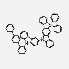 c1ccc(-c2ccc(-c3ccccc3-n3c4ccccc4c4cc(-n5c6ccccc6c6cc([Si](c7ccccc7)(c7ccccc7)c7ccccc7)ccc65)ccc43)cc2)cc1